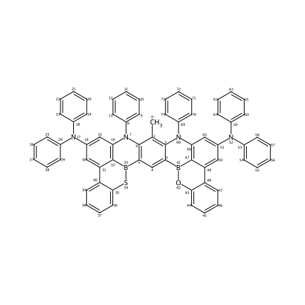 Cc1c2c(cc3c1N(c1ccccc1)c1cc(N(c4ccccc4)c4ccccc4)cc4c1B3Sc1ccccc1-4)B1Oc3ccccc3-c3cc(N(c4ccccc4)c4ccccc4)cc(c31)N2c1ccccc1